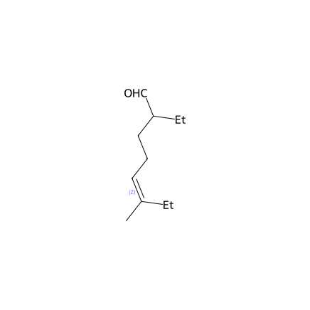 CC/C(C)=C\CCC(C=O)CC